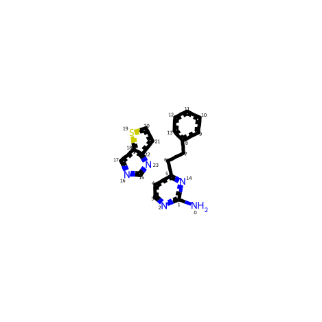 Nc1nccc(CCc2ccccc2)n1.c1ncc2sccc2n1